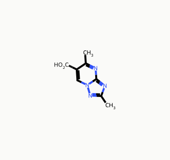 Cc1nc2nc(C)c(C(=O)O)cn2n1